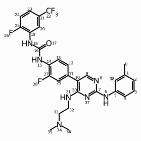 Cc1cccc(Nc2ncc(-c3ccc(NC(=O)Nc4cc(C(F)(F)F)ccc4F)c(F)c3)c(NCCN(C)C)n2)c1